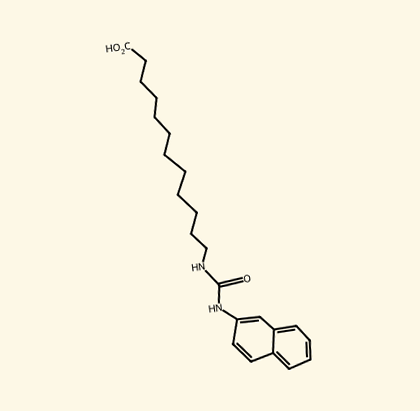 O=C(O)CCCCCCCCCCCNC(=O)Nc1ccc2ccccc2c1